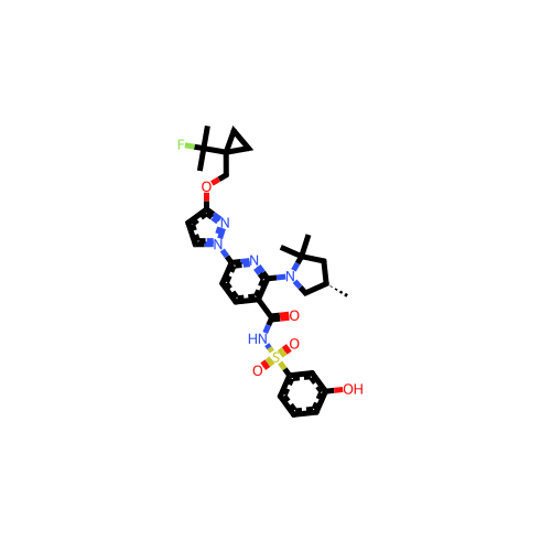 C[C@@H]1CN(c2nc(-n3ccc(OCC4(C(C)(C)F)CC4)n3)ccc2C(=O)NS(=O)(=O)c2cccc(O)c2)C(C)(C)C1